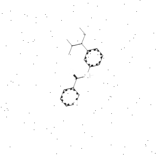 CCC(c1cccc(NC(=O)c2cccnc2)c1)C(C)C